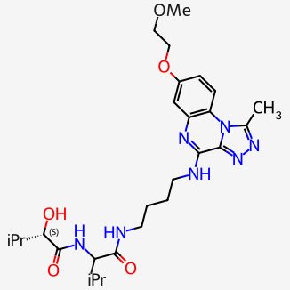 COCCOc1ccc2c(c1)nc(NCCCCNC(=O)C(NC(=O)[C@@H](O)C(C)C)C(C)C)c1nnc(C)n12